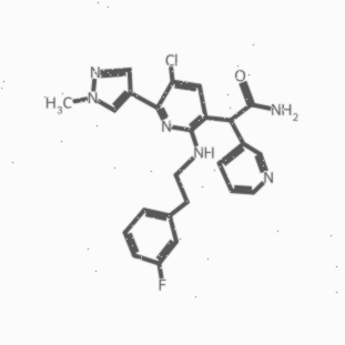 Cn1cc(-c2nc(NCCc3cccc(F)c3)c(C(C(N)=O)c3cccnc3)cc2Cl)cn1